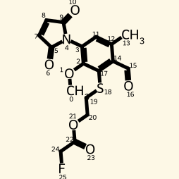 COc1c(N2C(=O)C=CC2=O)cc(C)c(C=O)c1SCCOC(=O)CF